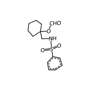 O=COC1(CNS(=O)(=O)c2ccccc2)CCCCC1